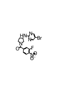 O=C(c1ccc([N+](=O)[O-])c(F)c1)N1CC[C@H](Nc2ncc(Br)cn2)C1